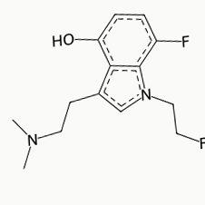 CN(C)CCc1cn(CCF)c2c(F)ccc(O)c12